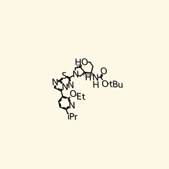 CCOc1nc(C(C)C)ccc1-c1cnc2sc(N3C[C@@H]4[C@@H](NC(=O)OC(C)(C)C)CCO[C@@H]4C3)nn12